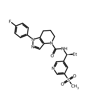 CC[C@H](NC(=O)N1CCCc2c1cnn2-c1ccc(F)cc1)c1cncc(S(C)(=O)=O)c1